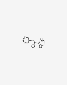 O=C(Cc1ccccc1)C1=NCCO1